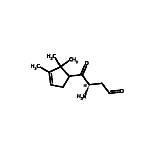 CC1=CCC(C(=O)[C@@H](N)CC=O)C1(C)C